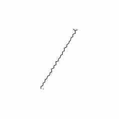 [CH2]CCCCCCCCCCCCCCCCCCCCCCCCCCCCCCCCC(C)C